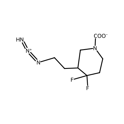 N=[N+]=NCCC1CN(C(=O)[O-])CCC1(F)F